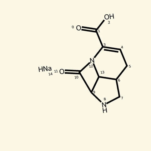 O=C(O)C1=CCC2CNC3C(=O)N1C23.[NaH]